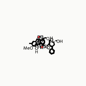 COC1=C(O)C2(C)C(C=C1C)CC1(O)CN(C)[C@@H]2[C@@H]2[C@@H]3SC[C@]4(N[C@H](CO)Cc5c4oc4ccccc54)C(=O)OCC(c4c5c(c(C)c(OC(C)=O)c43)OCO5)N21